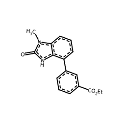 CCOC(=O)c1cccc(-c2cccc3c2[nH]c(=O)n3C)c1